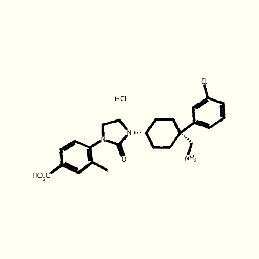 Cc1cc(C(=O)O)ccc1N1CCN([C@H]2CC[C@](CN)(c3cccc(Cl)c3)CC2)C1=O.Cl